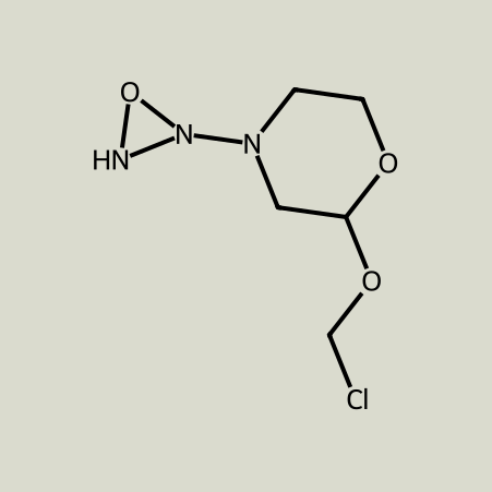 ClCOC1CN(n2[nH]o2)CCO1